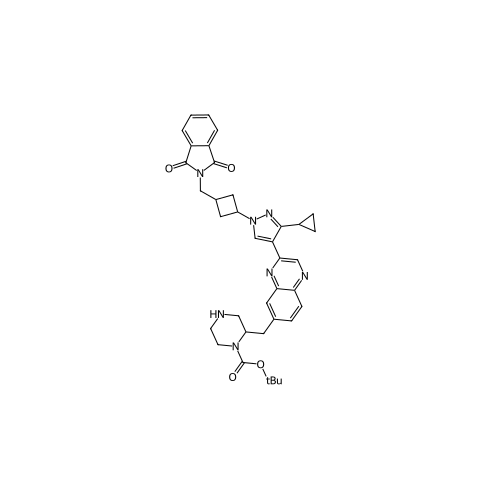 CC(C)(C)OC(=O)N1CCNCC1Cc1ccc2ncc(-c3cn(C4CC(CN5C(=O)c6ccccc6C5=O)C4)nc3C3CC3)nc2c1